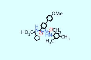 COc1ccc(-c2ccc(C(=O)N[C@H](C(=O)O)C3CCCC3)c(NC(=O)Nc3c(C)cc(C)cc3C)c2)cc1